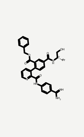 CC(C)[C@@H](CO)NC(=O)c1ccc(-c2cccnc2C(=O)Nc2ccc(C(=N)N)cc2)c(C(=O)OCc2ccccc2)c1